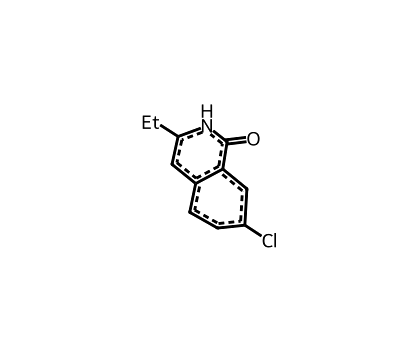 CCc1cc2ccc(Cl)cc2c(=O)[nH]1